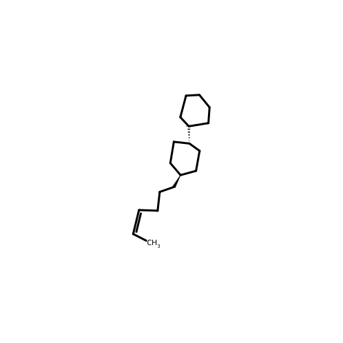 C/C=C\CCC[C@H]1CC[C@H]([C]2CCCCC2)CC1